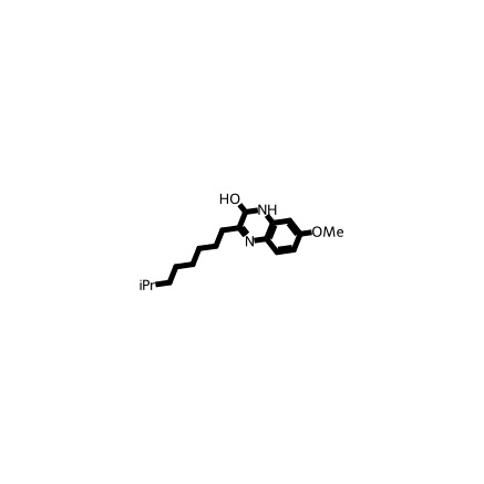 COc1ccc2c(c1)NC(O)C(CCCCCCC(C)C)=N2